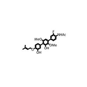 COc1cc(-c2ccc(NC(C)=O)c(F)c2)c(OC)c(O)c1-c1ccc(OCC=C(C)C)c(O)c1